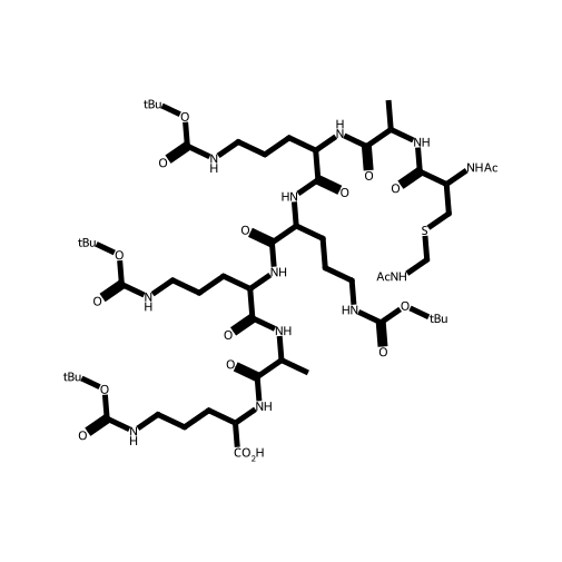 CC(=O)NCSCC(NC(C)=O)C(=O)NC(C)C(=O)NC(CCCNC(=O)OC(C)(C)C)C(=O)NC(CCCNC(=O)OC(C)(C)C)C(=O)NC(CCCNC(=O)OC(C)(C)C)C(=O)NC(C)C(=O)NC(CCCNC(=O)OC(C)(C)C)C(=O)O